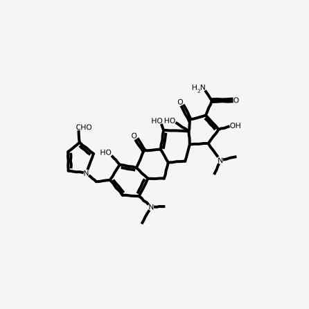 CN(C)c1cc(Cn2ccc(C=O)c2)c(O)c2c1CC1CC3C(N(C)C)C(O)=C(C(N)=O)C(=O)C3(O)C(O)=C1C2=O